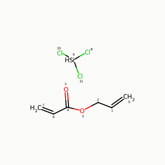 C=CCOC(=O)C=C.Cl[SiH](Cl)Cl